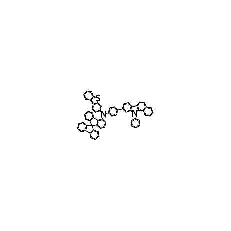 c1ccc(-n2c3cc(-c4ccc(N(c5ccc6c(c5)sc5ccccc56)c5cccc6c5-c5ccccc5C65c6ccccc6-c6ccccc65)cc4)ccc3c3ccc4ccccc4c32)cc1